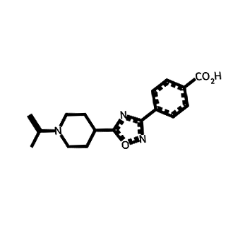 C=C(C)N1CCC(c2nc(-c3ccc(C(=O)O)cc3)no2)CC1